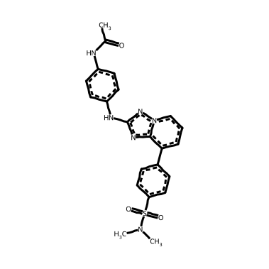 CC(=O)Nc1ccc(Nc2nc3c(-c4ccc(S(=O)(=O)N(C)C)cc4)cccn3n2)cc1